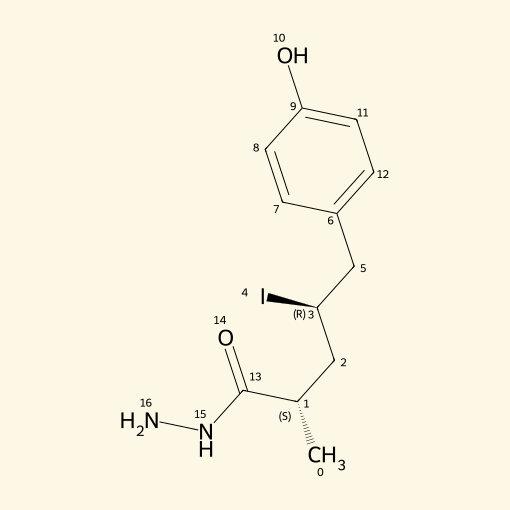 C[C@@H](C[C@@H](I)Cc1ccc(O)cc1)C(=O)NN